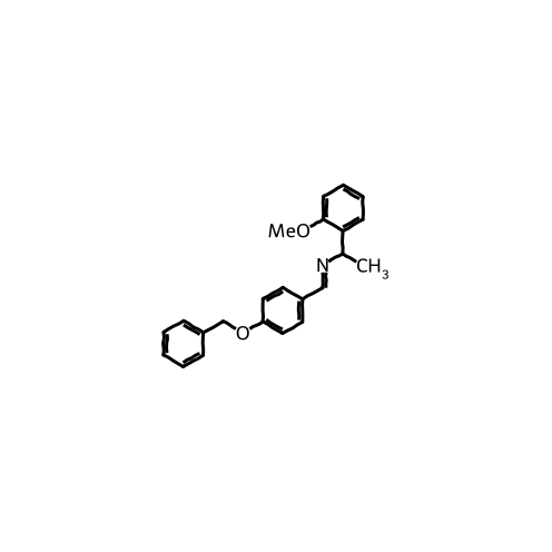 COc1ccccc1C(C)N=Cc1ccc(OCc2ccccc2)cc1